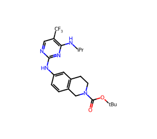 CC(C)Nc1nc(Nc2ccc3c(c2)CCN(C(=O)OC(C)(C)C)C3)ncc1C(F)(F)F